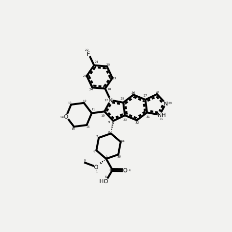 CO[C@]1(C(=O)O)CC[C@H](c2c(C3CCOCC3)n(-c3ccc(F)cc3)c3cc4cn[nH]c4cc32)CC1